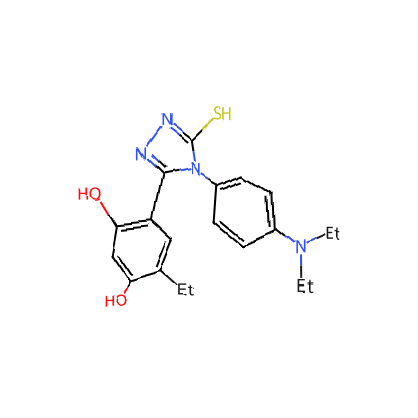 CCc1cc(-c2nnc(S)n2-c2ccc(N(CC)CC)cc2)c(O)cc1O